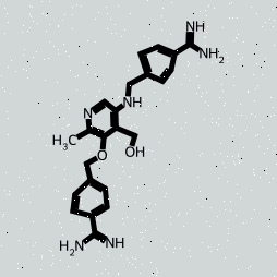 Cc1ncc(NCc2ccc(C(=N)N)cc2)c(CO)c1OCc1ccc(C(=N)N)cc1